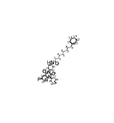 O=C(CCCCCCCCc1ccccc1)N[C@H]1CC[C@@H](n2c(=O)c3cc(F)cnc3n(C3CCSCC3)c2=O)CC1